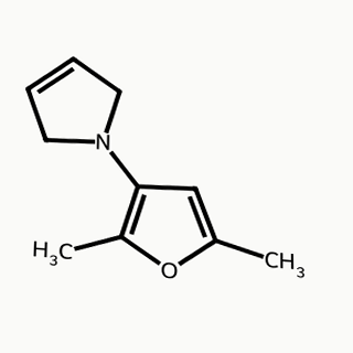 Cc1cc(N2CC=CC2)c(C)o1